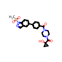 CS(=O)(=O)n1ncc2cc(-c3ccc(C(=O)N4CCN(C(=O)C5(O)CC5)CC4)cc3)ccc21